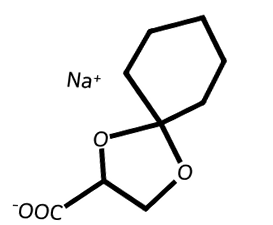 O=C([O-])C1COC2(CCCCC2)O1.[Na+]